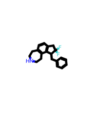 FC1(F)Cc2ccc3c(c2C1Cc1ccccc1)CCNCC3